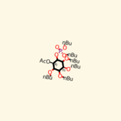 CCCCOC1C(OCCCC)[C@@H](OC(C)=O)C(OP(=O)(OCCCC)OCCCC)C(OCCCC)[C@H]1OCCCC